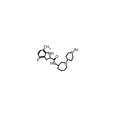 CC(=O)N1CCC(N2CCCCC(NC(=O)C3Cc4c(F)ccc(C)c4N3)C2)CC1